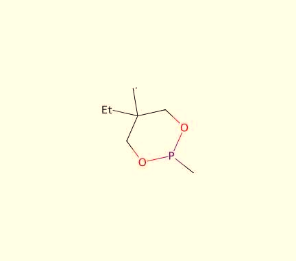 [CH2]C1(CC)COP(C)OC1